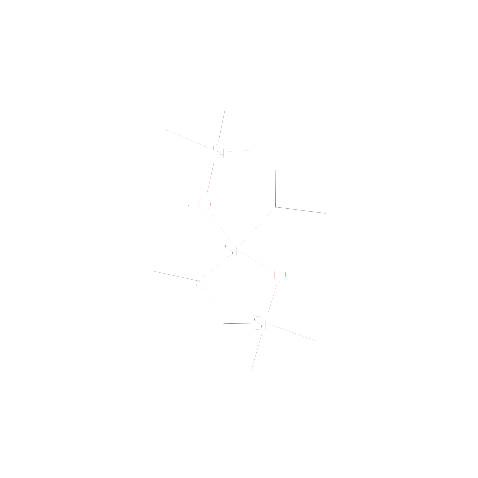 CC(C)[Si](O[Si](C)(C)C)(O[Si](C)(C)C)C(C)C